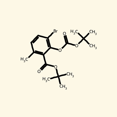 Cc1ccc(Br)c(OC(=O)OC(C)(C)C)c1C(=O)OC(C)(C)C